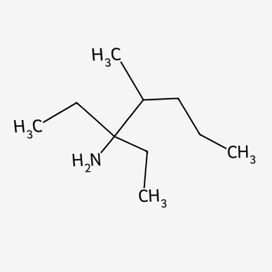 CCCC(C)C(N)(CC)CC